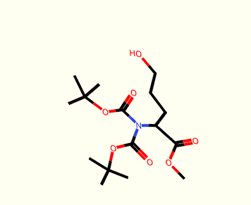 COC(=O)C(CCCO)N(C(=O)OC(C)(C)C)C(=O)OC(C)(C)C